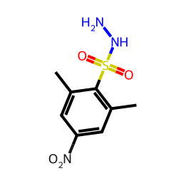 Cc1cc([N+](=O)[O-])cc(C)c1S(=O)(=O)NN